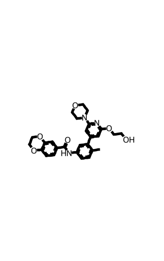 Cc1ccc(NC(=O)c2ccc3c(c2)OCCO3)cc1-c1cc(OCCO)nc(N2CCOCC2)c1